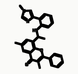 Cc1cc(C(C)Nc2ccccc2-c2cn(C)cn2)c2oc(-c3ccccc3)c(C)c(=O)c2c1